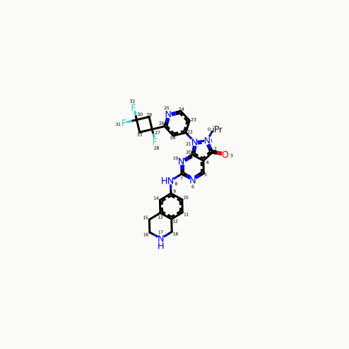 CC(C)n1c(=O)c2cnc(Nc3ccc4c(c3)CCNC4)nc2n1-c1ccnc(C2(F)CC(F)(F)C2)c1